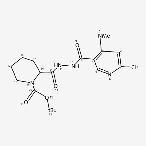 CNc1cc(Cl)ncc1C(=O)NNC(=O)C1CCCCN1C(=O)OC(C)(C)C